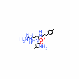 Cc1ccc(CCC(=O)N[C@@H](CCCNC(=N)N)C(=O)N[C@H](CC(C)C)C(N)=O)cc1